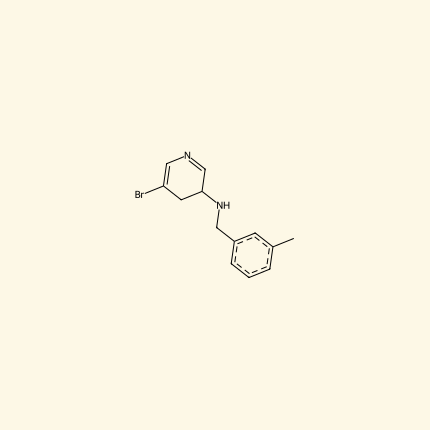 Cc1cccc(CNC2C=NC=C(Br)C2)c1